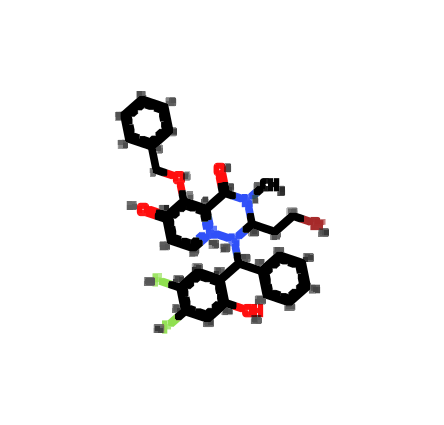 CN1C(=O)c2c(OCc3ccccc3)c(=O)ccn2N(C(c2ccccc2)c2cc(F)c(F)cc2O)C1CCBr